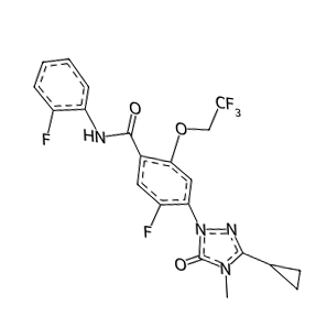 Cn1c(C2CC2)nn(-c2cc(OCC(F)(F)F)c(C(=O)Nc3ccccc3F)cc2F)c1=O